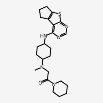 CN(CC(=O)N1CCCCC1)C1CCC(Nc2ncnc3sc4c(c23)CCC4)CC1